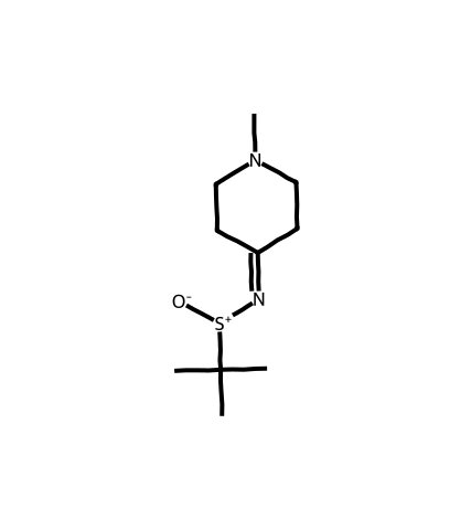 CN1CCC(=N[S+]([O-])C(C)(C)C)CC1